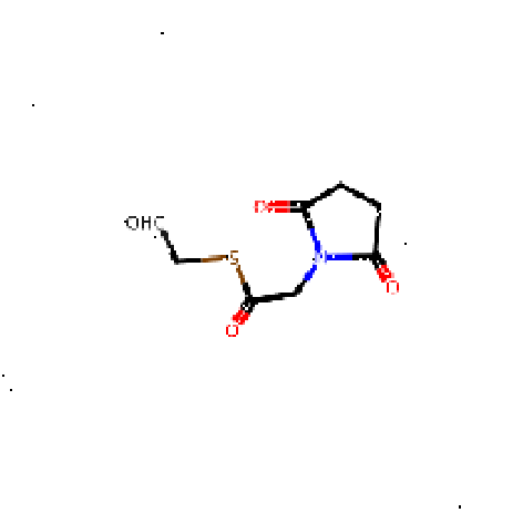 O=[C]CSC(=O)CN1C(=O)CCC1=O